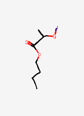 CCCCOC(=O)C(C)OI